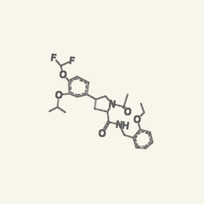 CCOc1ccccc1CNC(=O)C1CC(c2ccc(OC(F)F)c(OC(C)C)c2)CN1C(C)=O